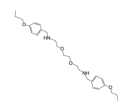 CCCOc1ccc(CNCCOCCOCCNCc2ccc(OCCC)cc2)cc1